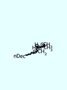 C=C(COCCCCCCCCCCCCCCCC)C[PH](=O)OCC[N+](C)(C)C